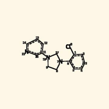 Clc1ccccc1N1CCN(c2cccnc2)C1